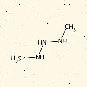 CNNN[SiH3]